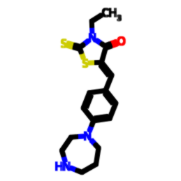 CCN1C(=O)/C(=C/c2ccc(N3CCCNCC3)cc2)SC1=S